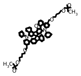 CCC1(COCCCCCOCc2ccc(N(c3ccccc3)c3cc4c(c5ccccc35)-c3c(cc(N(c5ccccc5)c5ccc(COCCCCCOCC6(CC)COC6)cc5)c5c3oc3ccccc35)C43c4ccccc4-c4ccccc43)cc2)COC1